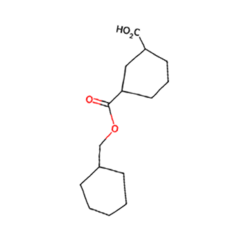 O=C(O)C1CCCC(C(=O)OCC2CCCCC2)C1